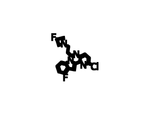 Fc1cccc2c1cc1c3nc(Cl)ccc3nc(CCN3CC(F)C3)n21